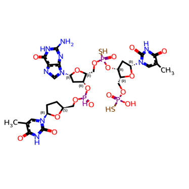 Cc1cn([C@H]2CC[C@@H](CO[PH](=O)O[C@@H]3C[C@H](n4cnc5c(=O)[nH]c(N)nc54)O[C@@H]3COP(=O)(S)O[C@@H]3C[C@H](n4cc(C)c(=O)[nH]c4=O)O[C@@H]3COP(=O)(O)S)O2)c(=O)[nH]c1=O